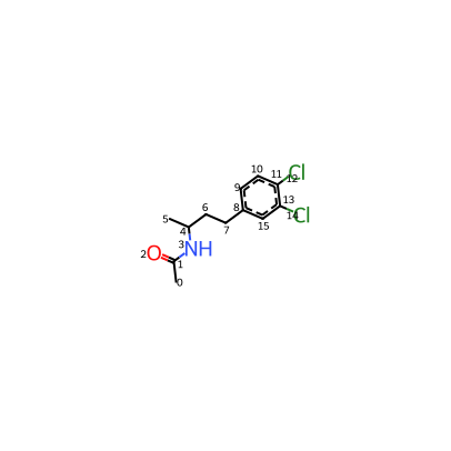 CC(=O)NC(C)CCc1ccc(Cl)c(Cl)c1